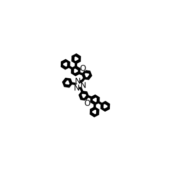 c1ccc(-c2nc(-c3ccc4oc5c(-c6ccccc6)c(-c6ccccc6)ccc5c4c3)nc(-c3cccc4oc5c(-c6ccccc6)c(-c6ccccc6)ccc5c34)n2)cc1